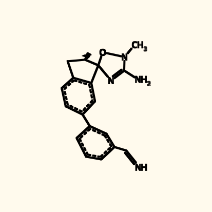 CN1OC2(N=C1N)c1cc(-c3cccc(C=N)c3)ccc1CC21CCCC1